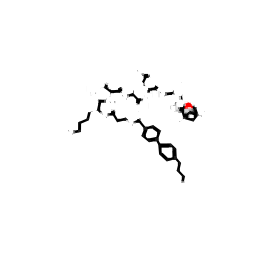 CCCCc1ccc(-c2ccc(C(=O)NCCC(=O)N[C@@H](CCCCN)C(=O)N[C@H](C(=O)N[C@@H](C)C(=O)N[C@@H](CC(N)=O)C(=O)N[C@@H](C)B3OC4C[C@@H]5C[C@@H](C5(C)C)[C@]4(C)O3)[C@@H](C)O)cc2)cc1